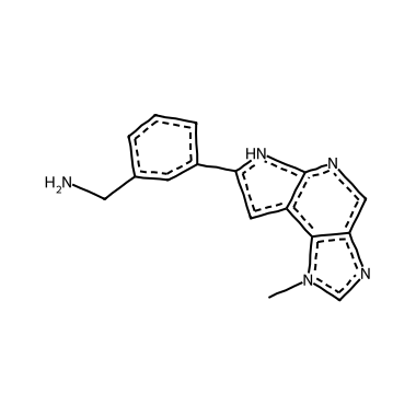 Cn1cnc2cnc3[nH]c(-c4cccc(CN)c4)cc3c21